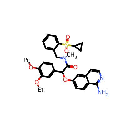 CCOc1cc(C(Oc2ccc3c(N)nccc3c2)C(=O)N(C)Cc2ccccc2S(=O)(=O)C2CC2)ccc1OC(C)C